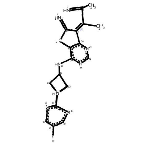 CC(=N)/C(C)=C1\C(=N)Sc2c(NC3CN(c4ncc(F)cn4)C3)ncnc21